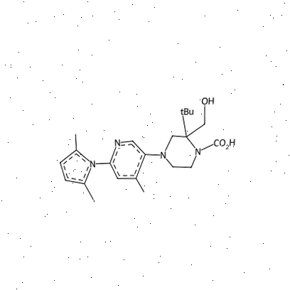 Cc1cc(-n2c(C)ccc2C)ncc1N1CCN(C(=O)O)C(CO)(C(C)(C)C)C1